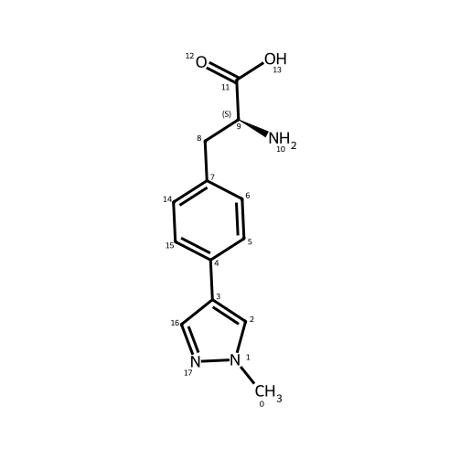 Cn1cc(-c2ccc(C[C@H](N)C(=O)O)cc2)cn1